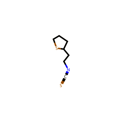 S=C=NCCC1CCCS1